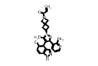 C=CC(=O)N1CC2(CC(n3nc(-c4cccnc4C)c(-c4c(Cl)ccc5[nH]ncc45)c3C)C2)C1